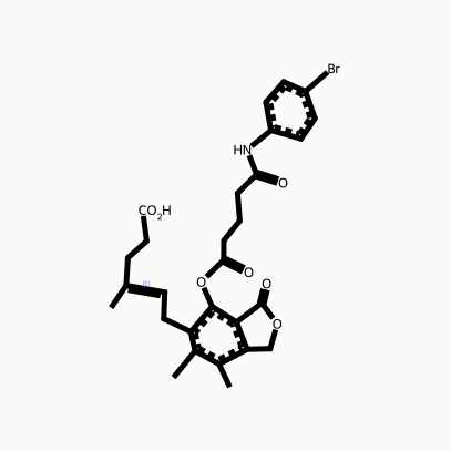 C/C(=C\Cc1c(C)c(C)c2c(c1OC(=O)CCCC(=O)Nc1ccc(Br)cc1)C(=O)OC2)CCC(=O)O